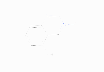 Cc1cccc2nc[n+]([O-])cc12